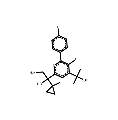 CC(C)(O)c1cc(C(O)(CN)C2(C)CC2)nc(-c2ccc(F)cc2)c1F